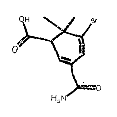 CC1(C)C(Br)=CC(C(N)=O)=CC1C(=O)O